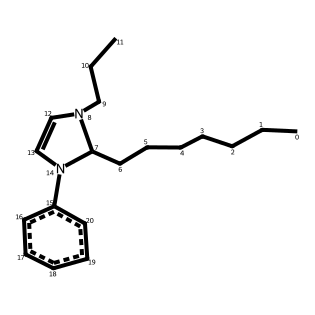 CCCCCCCC1N(CCC)C=CN1c1ccccc1